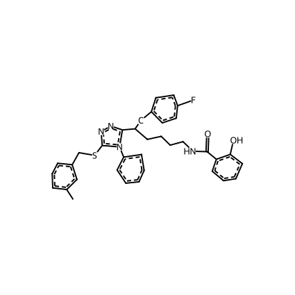 Cc1cccc(CSc2nnc(C(CCCCNC(=O)c3ccccc3O)Cc3ccc(F)cc3)n2-c2ccccc2)c1